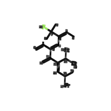 C=C/C(=C\C(=C/C)C(C)(C)F)C(=C)/C(=C/C(C)C(C)C)C(CC)CC